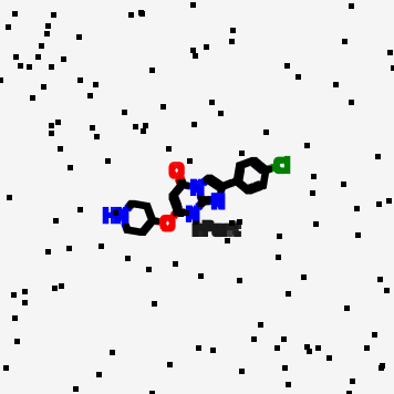 CCCCCn1c(OC2CCNCC2)cc(=O)n2cc(-c3ccc(Cl)cc3)nc12